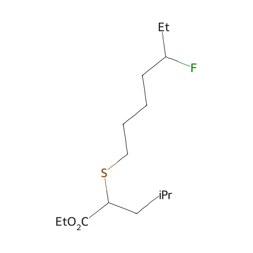 CCOC(=O)C(CC(C)C)SCCCCC(F)CC